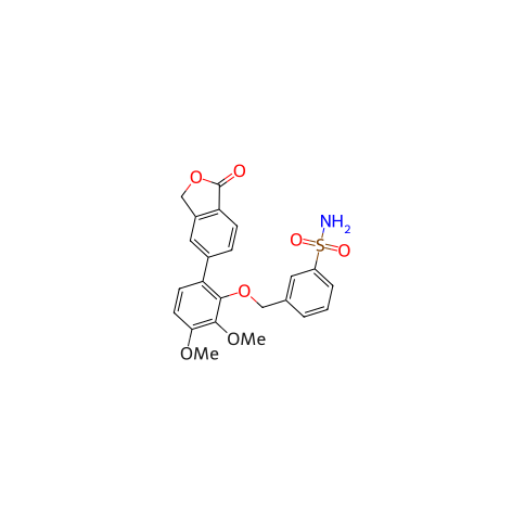 COc1ccc(-c2ccc3c(c2)COC3=O)c(OCc2cccc(S(N)(=O)=O)c2)c1OC